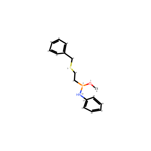 CCOP(CCSCc1ccccc1)Nc1ccccc1